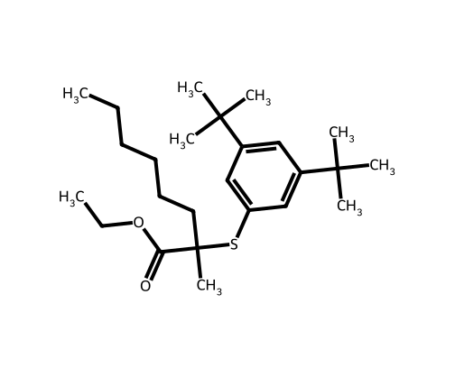 CCCCCCC(C)(Sc1cc(C(C)(C)C)cc(C(C)(C)C)c1)C(=O)OCC